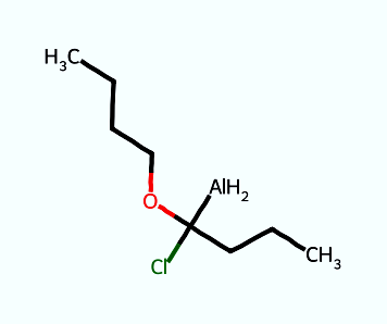 CCCCO[C]([AlH2])(Cl)CCC